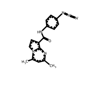 Cc1cc(C)n2ccc(C(=O)Nc3ccc(N=[N+]=[N-])cc3)c2n1